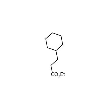 CCOC(=O)CCC1CCCCC1